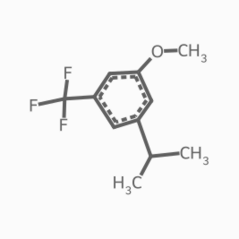 COc1cc(C(C)C)cc(C(F)(F)F)c1